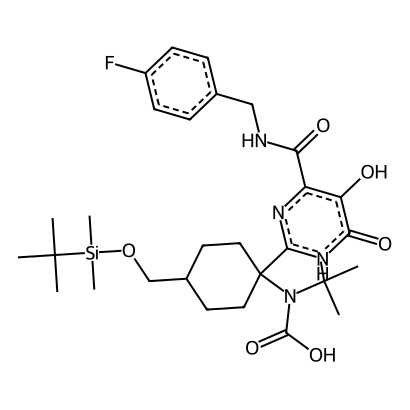 CC(C)(C)N(C(=O)O)C1(c2nc(C(=O)NCc3ccc(F)cc3)c(O)c(=O)[nH]2)CCC(CO[Si](C)(C)C(C)(C)C)CC1